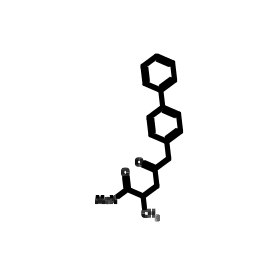 CNC(=O)C(C)CC(=O)Cc1ccc(-c2ccccc2)cc1